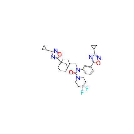 O=C(N1CCC(F)(F)CC1)N(CC1CCC2(c3nc(C4CC4)no3)CCCC1C2)c1cccc(-c2nc(C3CC3)no2)c1